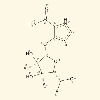 CC(=O)C(O)[C@H]1O[C@@H](Oc2nc[nH]c2C(N)=O)[C@@](O)(C(C)=O)[C@@]1(O)C(C)=O